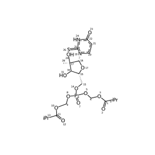 CC(C)C(=O)OCOP(=O)(OCOC(=O)C(C)C)OC[C@H]1O[C@@H](n2ccc(=O)[nH]c2=S)[C@](C)(O)C1O